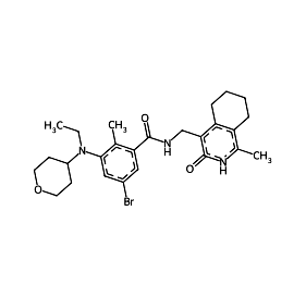 CCN(c1cc(Br)cc(C(=O)NCc2c3c(c(C)[nH]c2=O)CCCC3)c1C)C1CCOCC1